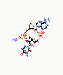 CO[C@@H]1CO[P@@](=O)(SON)O[C@@H]2[C@H](F)[C@@H](COP(=O)(O)O[C@@H](n3cnc4c(N)ncnc43)[C@@H]1F)O[C@H]2n1ccc(=O)[nH]c1=O